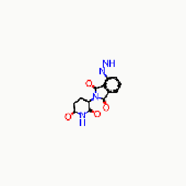 N=Nc1cccc2c1C(=O)N(C1CCC(=O)NC1=O)C2=O